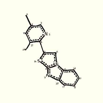 Cc1cnc(-c2cn3c(nc4ccccc43)s2)c(C)c1